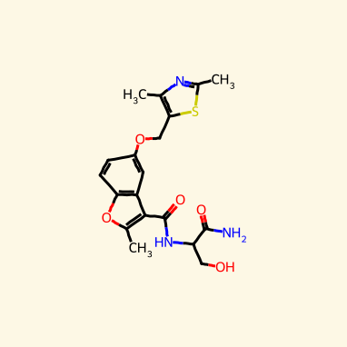 Cc1nc(C)c(COc2ccc3oc(C)c(C(=O)NC(CO)C(N)=O)c3c2)s1